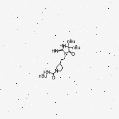 CCCCNC(=O)N1CCC(CCN2C(=N)NC(CCCC)(CCCC)C2=O)C1